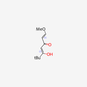 CO/C=C/C(=O)/C=C(\O)C(C)(C)C